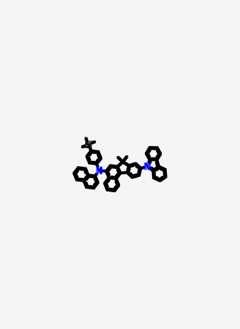 CC1(C)c2cc(-n3c4ccccc4c4ccccc43)ccc2-c2c1cc(N(c1ccc([Si](C)(C)C)cc1)c1cccc3ccccc13)c1ccccc21